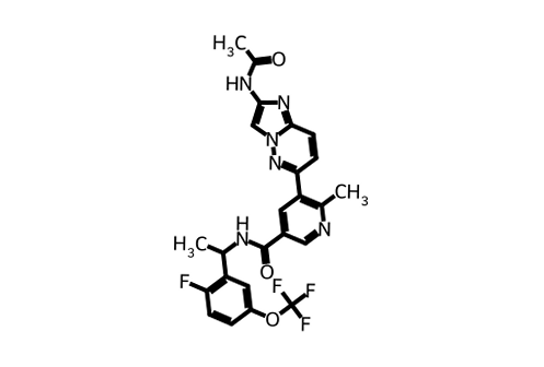 CC(=O)Nc1cn2nc(-c3cc(C(=O)NC(C)c4cc(OC(F)(F)F)ccc4F)cnc3C)ccc2n1